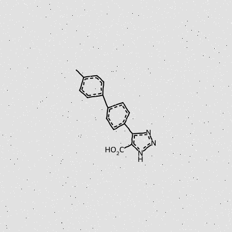 Cc1ccc(-c2ccc(-c3nn[nH]c3C(=O)O)cc2)cc1